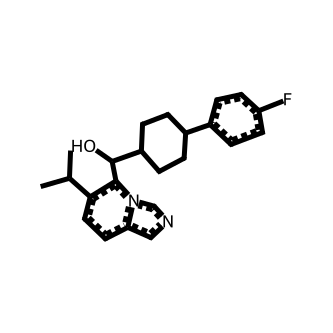 CC(C)c1ccc2cncn2c1C(O)C1CCC(c2ccc(F)cc2)CC1